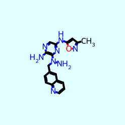 Cc1cc(Nc2cnc(N)c(N(N)Cc3ccc4ncccc4c3)n2)on1